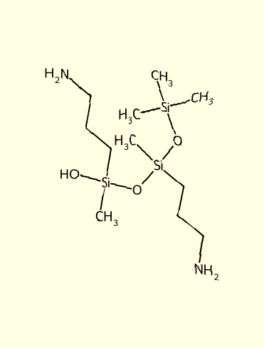 C[Si](C)(C)O[Si](C)(CCCN)O[Si](C)(O)CCCN